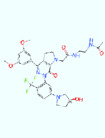 COc1cc(OC)cc(-c2nn(-c3cc(N4CC[C@H](O)C4)ccc3C(F)(F)F)c(=O)c3c2CCN3CC(=O)NCCNC(C)=O)c1